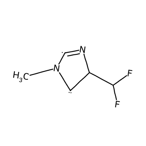 CN1[C]C(C(F)F)N=[C]1